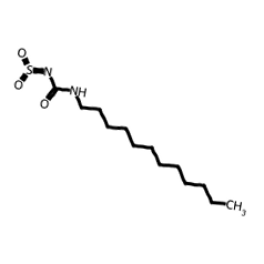 CCCCCCCCCCCCNC(=O)N=S(=O)=O